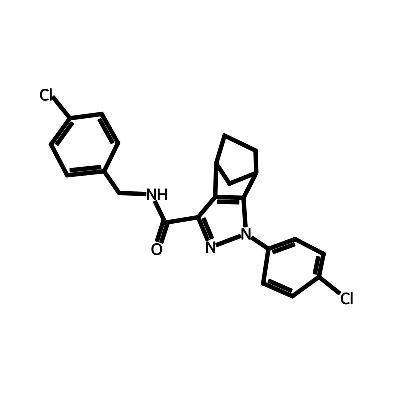 O=C(NCc1ccc(Cl)cc1)c1nn(-c2ccc(Cl)cc2)c2c1C1CCC2C1